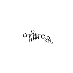 CN(C)[C@H](CNC(=O)[C@H]1P[C@@]1(C)c1ccccc1)Cc1ccc(C(N)=O)cc1